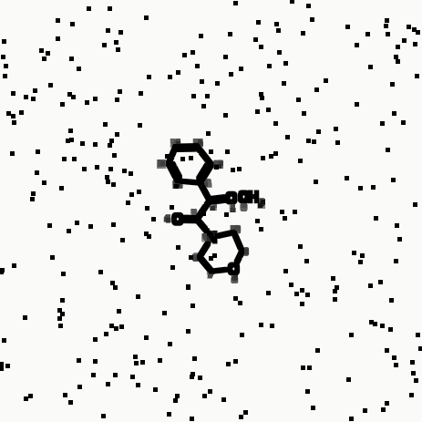 O.O=C(C(=O)N1CCOCC1)c1ccccc1